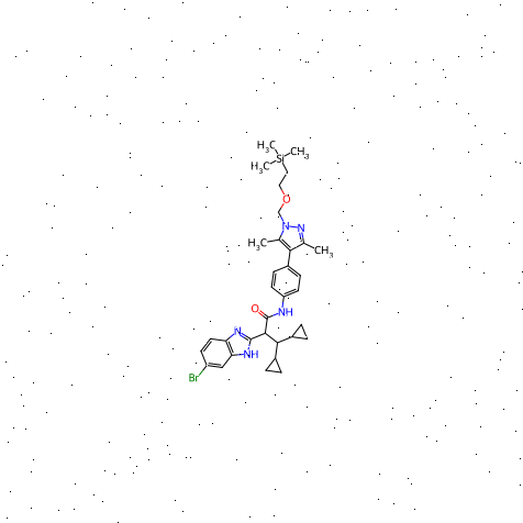 Cc1nn(COCC[Si](C)(C)C)c(C)c1-c1ccc(NC(=O)C(c2nc3ccc(Br)cc3[nH]2)C(C2CC2)C2CC2)cc1